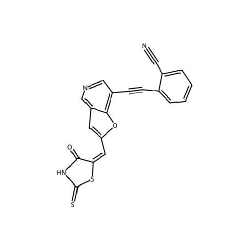 N#Cc1ccccc1C#Cc1cncc2cc(C=C3SC(=S)NC3=O)oc12